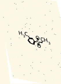 CCS(=O)(=O)c1cccc(C)c1